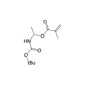 C=C(C)C(=O)OC(C)NC(=O)OC(C)(C)C